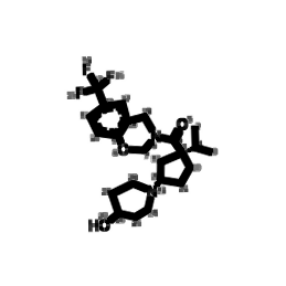 CC(C)[C@]1(C(=O)N2COc3ccc(C(F)(F)F)cc3C2)CC[C@@H](N2CCC(O)CC2)C1